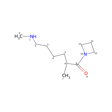 CNCCCCC(C)C(=O)N1CCC1